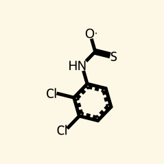 [O]C(=S)Nc1cccc(Cl)c1Cl